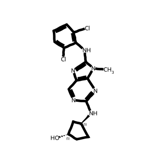 Cn1c(Nc2c(Cl)cccc2Cl)nc2cnc(N[C@H]3CC[C@H](O)C3)nc21